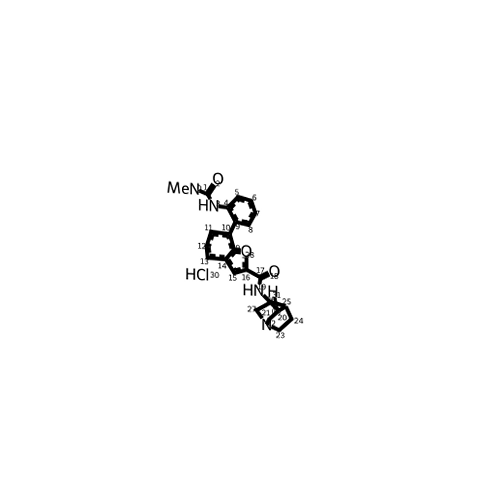 CNC(=O)Nc1ccccc1-c1cccc2cc(C(=O)N[C@H]3CN4CCC3CC4)oc12.Cl